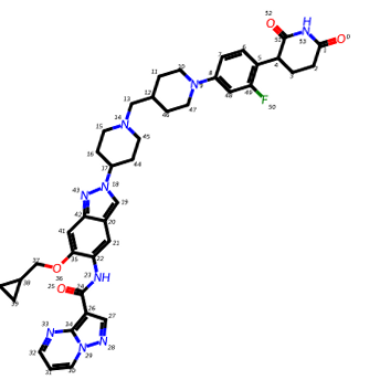 O=C1CCC(c2ccc(N3CCC(CN4CCC(n5cc6cc(NC(=O)c7cnn8cccnc78)c(OCC7CC7)cc6n5)CC4)CC3)cc2F)C(=O)N1